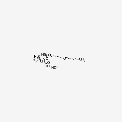 CCCCCCCOCCCCCCO[P@](O)OC(CC(=O)O)C[N+](C)(C)C.[OH-]